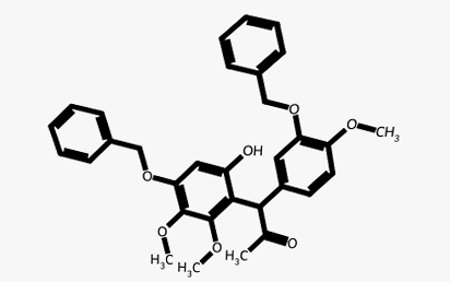 COc1ccc(C(C(C)=O)c2c(O)cc(OCc3ccccc3)c(OC)c2OC)cc1OCc1ccccc1